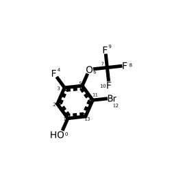 Oc1cc(F)c(OC(F)(F)F)c(Br)c1